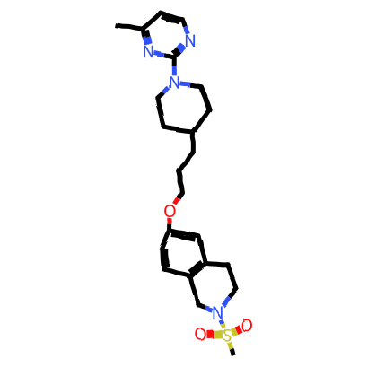 Cc1ccnc(N2CCC(CCCOc3ccc4c(c3)CCN(S(C)(=O)=O)C4)CC2)n1